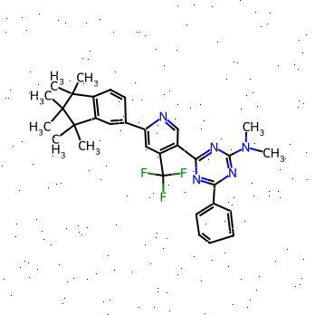 CN(C)c1nc(-c2ccccc2)nc(-c2cnc(-c3ccc4c(c3)C(C)(C)C(C)(C)C4(C)C)cc2C(F)(F)F)n1